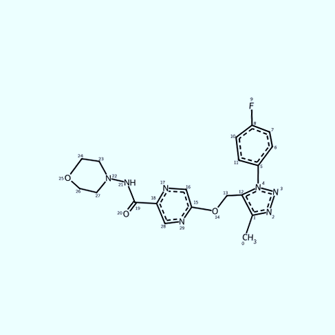 Cc1nnn(-c2ccc(F)cc2)c1COc1cnc(C(=O)NN2CCOCC2)cn1